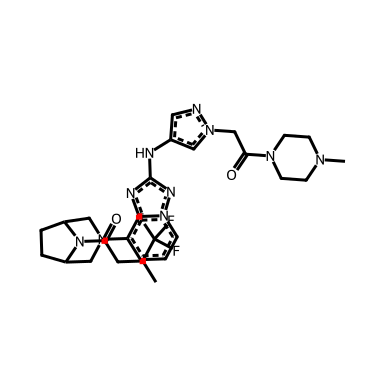 CC(CC(=O)N1C2CCC1CN(c1cccn3nc(Nc4cnn(CC(=O)N5CCN(C)CC5)c4)nc13)C2)C(F)(F)F